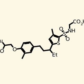 CCC(CCc1ccc(OCC(O)C(C)(C)C)c(C)c1)c1cc(C)c(S(=O)(=O)NCC(=O)O)s1